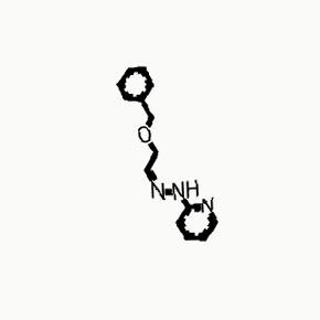 C(/COCc1ccccc1)=N/Nc1ccccn1